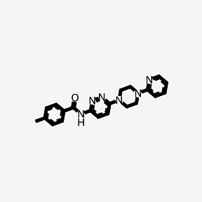 Cc1ccc(C(=O)Nc2ccc(N3CCN(c4ccccn4)CC3)nn2)cc1